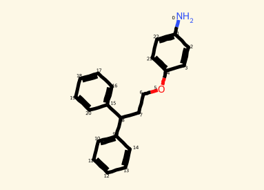 Nc1ccc(OCCC(c2ccccc2)c2ccccc2)cc1